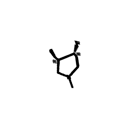 C[C@@H]1CN(C)C[C@H]1F